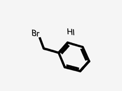 BrCc1ccccc1.I